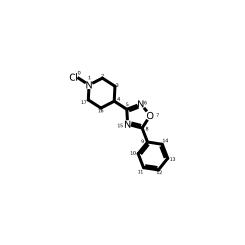 ClN1CCC(c2noc(-c3ccccc3)n2)CC1